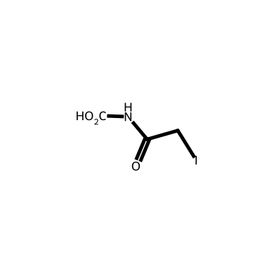 O=C(O)NC(=O)CI